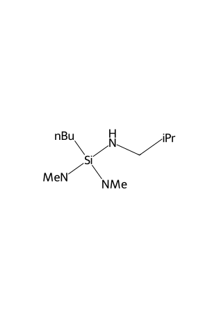 CCCC[Si](NC)(NC)NCC(C)C